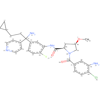 CO[C@@H]1C[C@H](C(=O)Nc2cc(C(N)(CCC3CC3)c3ccncc3)ccc2F)N(C(=O)c2ccc(Cl)c(N)c2)C1